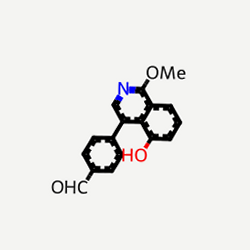 COc1ncc(-c2ccc(C=O)cc2)c2c(O)cccc12